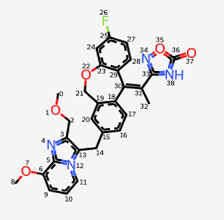 COCc1nc2c(OC)cccn2c1Cc1ccc2c(c1)COc1cc(F)ccc1C2=C(C)c1noc(=O)[nH]1